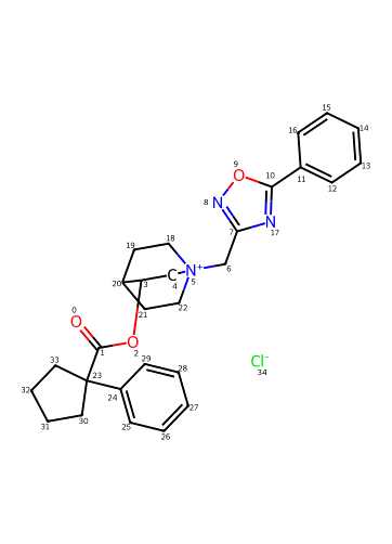 O=C(OC1C[N+]2(Cc3noc(-c4ccccc4)n3)CCC1CC2)C1(c2ccccc2)CCCC1.[Cl-]